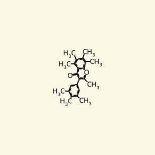 Cc1cc(-c2c(C)oc3c(C)c(C)c(C)c(C)c3c2=O)cc(C)c1C